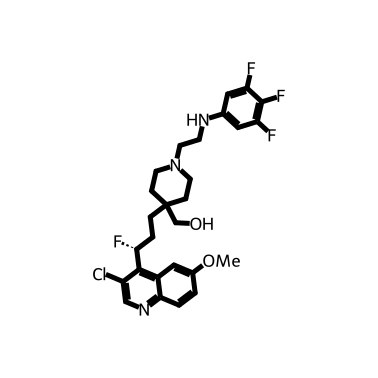 COc1ccc2ncc(Cl)c([C@H](F)CCC3(CO)CCN(CCNc4cc(F)c(F)c(F)c4)CC3)c2c1